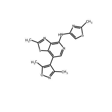 Cc1nc(Nc2ncc(-c3c(C)noc3C)c3sc(C)nc23)cs1